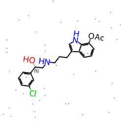 CC(=O)Oc1cccc2c(CCCNC[C@@H](O)c3cccc(Cl)c3)c[nH]c12